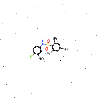 CC(C)c1cc(C(C)C)c(S(=O)(=O)Nc2ccc(F)c([N+](=O)[O-])c2)c(C(C)C)c1